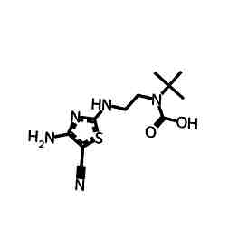 CC(C)(C)N(CCNc1nc(N)c(C#N)s1)C(=O)O